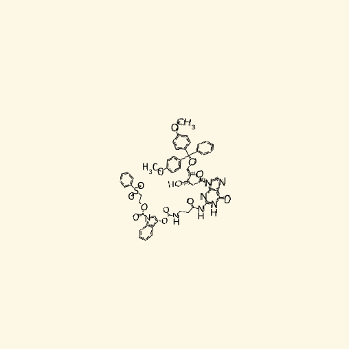 COc1ccc(C(OC[C@H]2O[C@@H](n3cnc4c(=O)[nH]c(NC(=O)CCNC(=O)Oc5cn(C(=O)OCCS(=O)(=O)c6ccccc6)c6ccccc56)nc43)C[C@H]2O)(c2ccccc2)c2ccc(OC)cc2)cc1